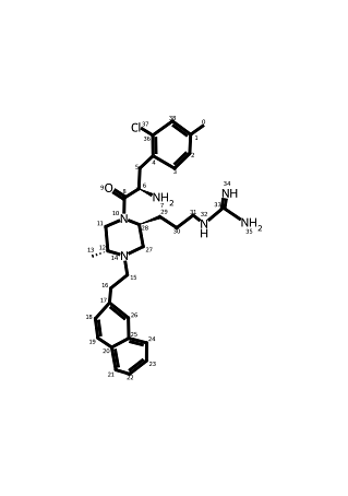 Cc1ccc(C[C@@H](N)C(=O)N2C[C@@H](C)N(CCc3ccc4ccccc4c3)C[C@@H]2CCCNC(=N)N)c(Cl)c1